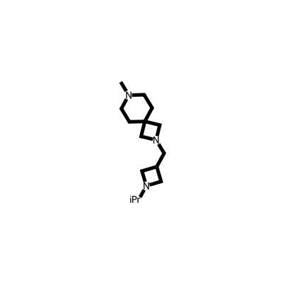 CC(C)N1CC(CN2CC3(CCN(C)CC3)C2)C1